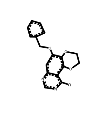 Clc1ncnc2cc(OCc3ccccc3)c3c(c12)OCCO3